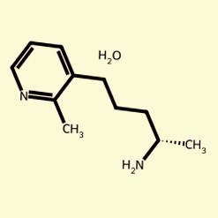 Cc1ncccc1CCC[C@H](C)N.O